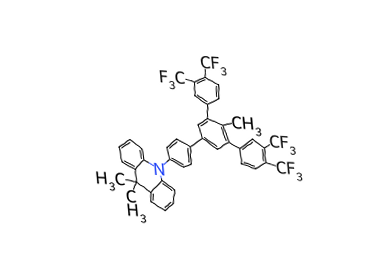 Cc1c(-c2ccc(C(F)(F)F)c(C(F)(F)F)c2)cc(-c2ccc(N3c4ccccc4C(C)(C)c4ccccc43)cc2)cc1-c1ccc(C(F)(F)F)c(C(F)(F)F)c1